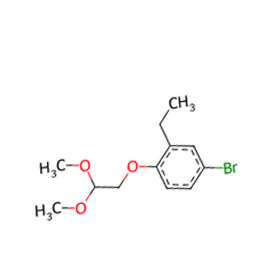 CCc1cc(Br)ccc1OCC(OC)OC